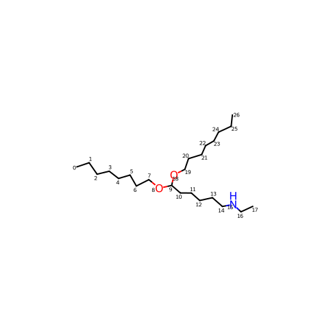 CCCCCCCCOC(CCCCCNCC)OCCCCCCCC